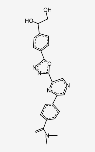 C=C(c1ccc(-c2cncc(-c3nnc(-c4ccc(C(O)CO)cc4)o3)n2)cc1)N(C)C